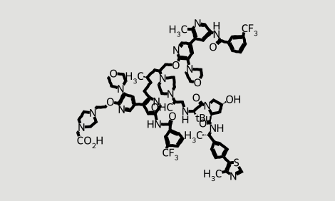 Cc1ncc(NC(=O)c2cccc(C(F)(F)F)c2)cc1-c1cnc(OCC(C[C@@H](C)CCc2ncc(NC(=O)c3cccc(C(F)(F)F)c3)cc2-c2cnc(OCCN3CCN(CC(=O)O)CC3)c(N3CCOCC3)c2)N2CCN(C(C=O)CN[C@@H](C(=O)N3C[C@H](O)C[C@H]3C(=O)N[C@@H](C)c3ccc(-c4scnc4C)cc3)C(C)(C)C)CC2)c(N2CCOCC2)c1